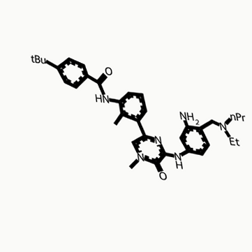 CCCN(CC)Cc1ccc(Nc2nc(-c3cccc(NC(=O)c4ccc(C(C)(C)C)cc4)c3C)cn(C)c2=O)cc1N